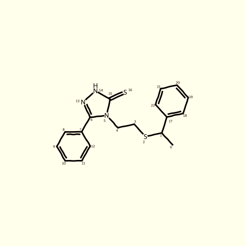 CC(SCCn1c(-c2ccccc2)n[nH]c1=S)c1ccccc1